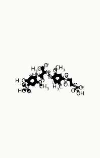 COc1cc(S(=O)(=O)CCOS(=O)(=O)O)c(C)cc1/N=N/C(C(C)=O)C(=O)Nc1cc(C)c(S(=O)(=O)O)cc1OC